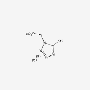 O=C(O)Cn1nnnc1S.[KH].[KH]